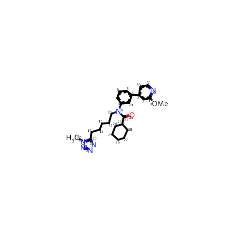 COc1cc(-c2cccc(N(CCCCCc3nnnn3C)C(=O)C3CCCCC3)c2)ccn1